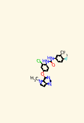 Cn1ccc2ncnc(Oc3ccc(NC(=O)Nc4ccc(F)c(C(F)(F)F)c4)c(Cl)c3)c21